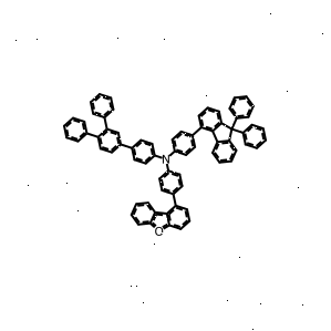 c1ccc(-c2ccc(-c3ccc(N(c4ccc(-c5cccc6c5-c5ccccc5C6(c5ccccc5)c5ccccc5)cc4)c4ccc(-c5cccc6oc7ccccc7c56)cc4)cc3)cc2-c2ccccc2)cc1